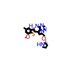 COc1cc(C)cc2cc(-c3cc(COC[C@@H]4CCCN4)n4ncnc(N)c34)sc12